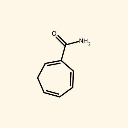 NC(=O)C1=CCC=CC=C1